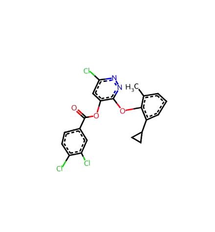 Cc1cccc(C2CC2)c1Oc1nnc(Cl)cc1OC(=O)c1ccc(Cl)c(Cl)c1